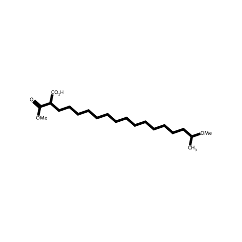 COC(=O)C(CCCCCCCCCCCCCCC(C)OC)C(=O)O